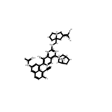 C#Cc1c(F)ccc2cc(OC(C)=O)cc(-c3ncc4c(N5CC6CCC(C5)N6)nc(OCC56CCCN5CC(=C(F)F)C6)nc4c3F)c12